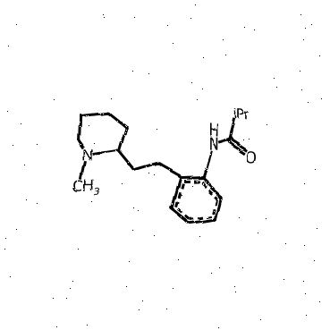 CC(C)C(=O)Nc1ccccc1CCC1CCCCN1C